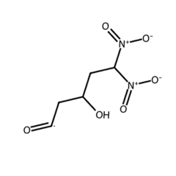 O=[C]CC(O)CC([N+](=O)[O-])[N+](=O)[O-]